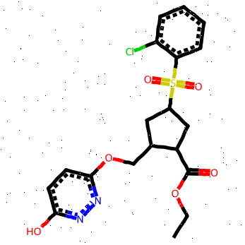 CCOC(=O)C1CC(S(=O)(=O)c2ccccc2Cl)CC1COc1ccc(O)nn1